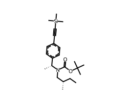 CC[C@H](C)CN(C(=O)OC(C)(C)C)[C@H](C)c1ccc(C#C[Si](C)(C)C)cc1